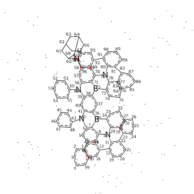 c1ccc(-c2cc3c4c(c2)N(c2c(-c5ccccc5)cccc2-c2ccccc2)c2ccccc2B4c2cc4c(cc2N3c2ccccc2)N(c2ccccc2)c2cc(N3C5CC6CC(C5)CC3C6)cc3c2B4c2ccccc2N3c2c(-c3ccccc3)cccc2-c2ccccc2)cc1